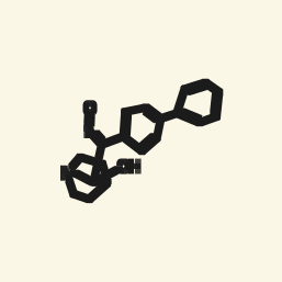 O=S=C(c1ccc(-c2ccccc2)cc1)C1(O)CN2CCC1CC2